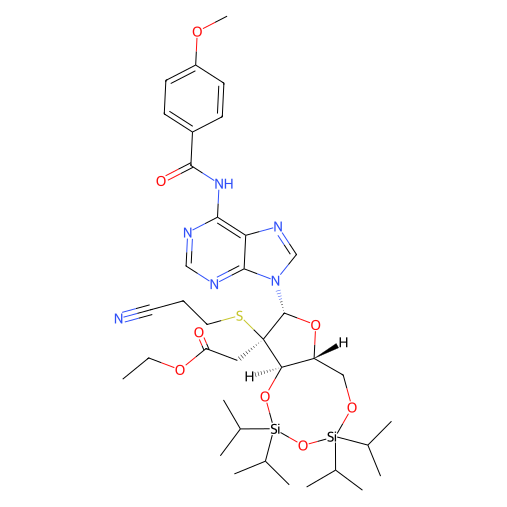 CCOC(=O)C[C@@]1(SCCC#N)[C@@H]2O[Si](C(C)C)(C(C)C)O[Si](C(C)C)(C(C)C)OC[C@H]2O[C@H]1n1cnc2c(NC(=O)c3ccc(OC)cc3)ncnc21